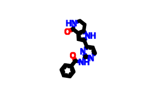 O=C(Nc1nccc(-c2cc3c([nH]2)CCNC3=O)n1)c1ccccc1